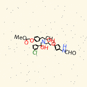 COC(=O)COc1ccc(CC(C)N(CC(O)COc2ccc(CNC=O)cc2)CC(O)c2cccc(Cl)c2)cc1